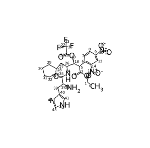 CCOC(=O)C(c1ccc([N+](=O)[O-])cc1[N+](=O)[O-])[C@H](OC(=O)C(F)(F)F)[C@H](CC1CCCCC1)NC(=O)[C@@H](N)Cc1c[nH]cn1